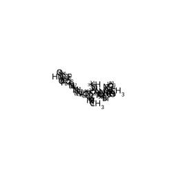 Cn1cc(-c2cc(Nc3ncc(Br)c(Nc4cnc5ccccc5c4P(C)(C)=O)n3)c(OC3CC3)cc2N2CCC(CN3CCN(C4CN(c5cc(F)c(C6CCC(=O)NC6=O)c(F)c5)C4)CC3)CC2)cn1